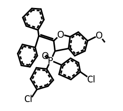 COc1ccc2c(c1)OC(=C(c1ccccc1)c1ccccc1)C2P(=O)(c1ccc(Cl)cc1)c1ccc(Cl)cc1